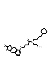 O=C1CN2Cc3c(cccc3OCCCC(=O)N(CCO)CCCCC3CCCCC3)N=C2N1